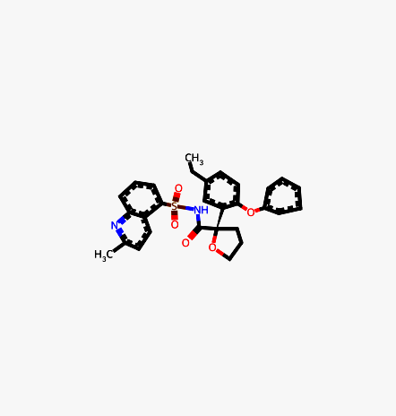 CCc1ccc(Oc2ccccc2)c([C@@]2(C(=O)NS(=O)(=O)c3cccc4nc(C)ccc34)CCCO2)c1